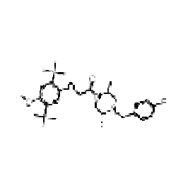 COc1cc(C(C)(C)C)c(OCC(=O)N2C[C@@H](C)N(Cc3ccc(F)cc3)C[C@@H]2C)cc1C(C)(C)C